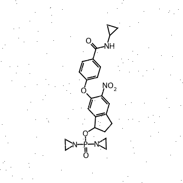 O=C(NC1CC1)c1ccc(Oc2cc3c(cc2[N+](=O)[O-])CCC3OP(=O)(N2CC2)N2CC2)cc1